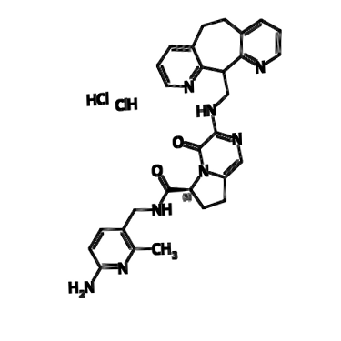 Cc1nc(N)ccc1CNC(=O)[C@@H]1CCc2cnc(NCC3c4ncccc4CCc4cccnc43)c(=O)n21.Cl.Cl